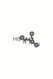 C=N/C(=C(C)\C=C(/C)c1ncc(-c2cccnc2)cc1/C=C/c1ccccc1)c1cccc(O)c1